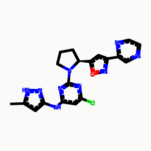 Cc1cc(Nc2cc(Cl)nc(N3CCC[C@H]3c3cc(-c4cnccn4)no3)n2)n[nH]1